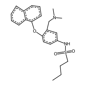 CCCCS(=O)(=O)Nc1ccc(Oc2cccc3ccccc23)c(CN(C)C)c1